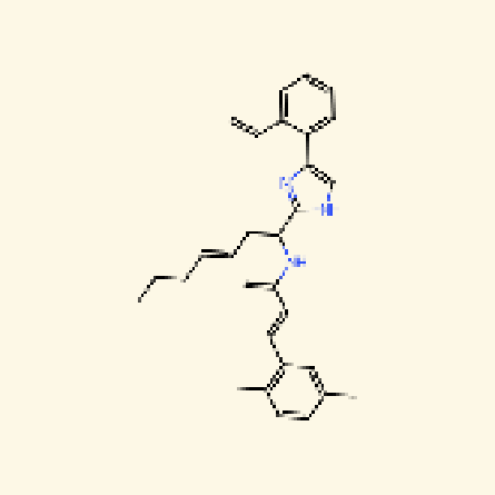 C=Cc1ccccc1-c1c[nH]c(C(C/C=C/CCC)NC(=C)/C=C/c2cc(C)ccc2C)n1